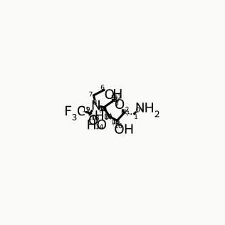 NC[C@H]1O[C@@H]2OCCN(C(=O)C(F)(F)F)[C@@H]2[C@@H](O)[C@H]1O